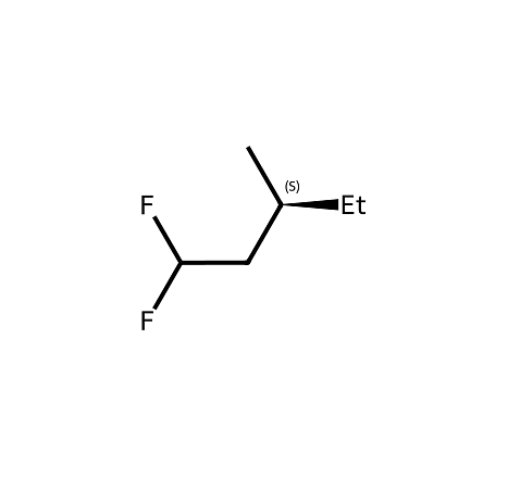 CC[C@H](C)CC(F)F